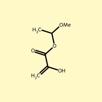 C=C(O)C(=O)OC(C)OC